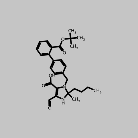 CCCCC1(C)NC(C=O)=C(C(=O)O)N1Cc1ccc(-c2ccccc2C(=O)OC(C)(C)C)cc1